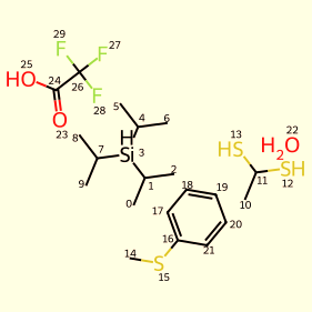 CC(C)[SiH](C(C)C)C(C)C.CC(S)S.CSc1ccccc1.O.O=C(O)C(F)(F)F